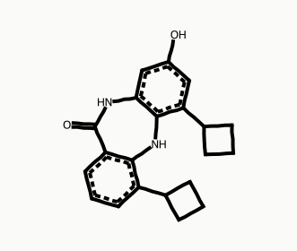 O=C1Nc2cc(O)cc(C3CCC3)c2Nc2c1cccc2C1CCC1